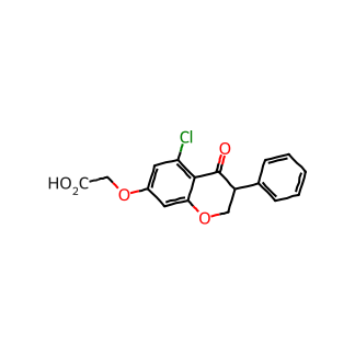 O=C(O)COc1cc(Cl)c2c(c1)OCC(c1ccccc1)C2=O